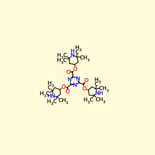 CC1(C)CC(OC(=O)c2nc(C(=O)OC3CC(C)(C)NC(C)(C)C3)nc(C(=O)OC3CC(C)(C)NC(C)(C)C3)n2)CC(C)(C)N1